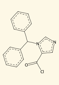 O=C(Cl)c1cncn1C(c1ccccc1)c1ccccc1